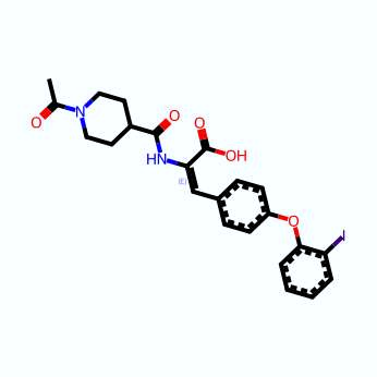 CC(=O)N1CCC(C(=O)N/C(=C/c2ccc(Oc3ccccc3I)cc2)C(=O)O)CC1